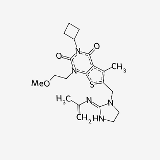 C=C(C)/N=C1\NCCN1Cc1sc2c(c1C)c(=O)n(C1CCC1)c(=O)n2CCOC